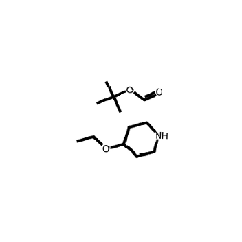 CC(C)(C)OC=O.CCOC1CCNCC1